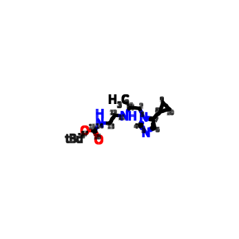 C[C@H](Cn1cncc1C1CC1)NCCNC(=O)OC(C)(C)C